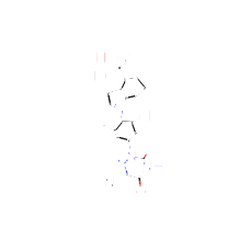 CC(C)(O)c1cccc2c1ccn2-c1c(Cl)cc(-n2nc(C#N)c(=O)[nH]c2=O)cc1Cl